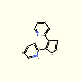 C1=CC(c2ccccn2)=C(c2ccccn2)C1